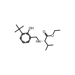 CCOC(=O)[C@@H](NCc1cccc(C(C)(C)C)c1O)C(C)C